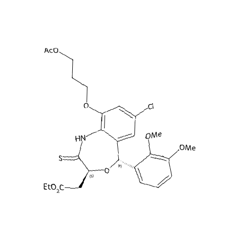 CCOC(=O)C[C@@H]1O[C@@H](c2cccc(OC)c2OC)c2cc(Cl)cc(OCCCOC(C)=O)c2NC1=S